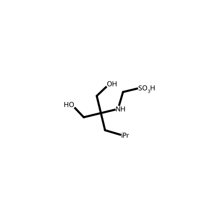 CC(C)CC(CO)(CO)NCS(=O)(=O)O